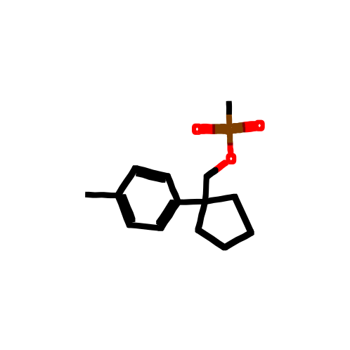 Cc1ccc(C2(COS(C)(=O)=O)CCCC2)cc1